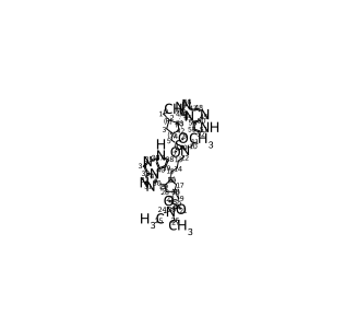 CC[C@@H]1C[C@H](CS(=O)(=O)N(CC)CCCC[C@H]2C[C@@H](CS(=O)(=O)N(CC)CC)C[C@@H]2c2nnc3cnc4[nH]ccc4n23)C[C@H]1c1nnc2cnc3[nH]ccc3n12